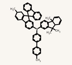 Cc1ccc(-c2ccc(N(c3ccc4c(c3)C3(C5=C4C=CC(C)C5)c4ccccc4-c4ccccc43)c3ccc4c(c3)C(C)(C)C3C=CC=CC43C)cc2)cc1